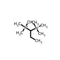 CC[C]([N+](C)(C)C)[N+](C)(C)C